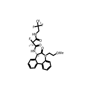 COCCN1C(=O)[C@@H](NC(=O)[C@@](C)(F)C(=O)NCC(F)(F)C(F)(F)F)c2ccccc2-c2ccccc21